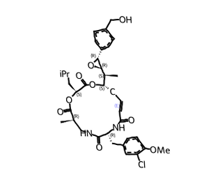 COc1ccc(C[C@H]2NC(=O)/C=C/C[C@@H]([C@H](C)[C@H]3O[C@@H]3c3ccc(CO)cc3)OC(=O)[C@H](CC(C)C)OC(=O)[C@H](C)CNC2=O)cc1Cl